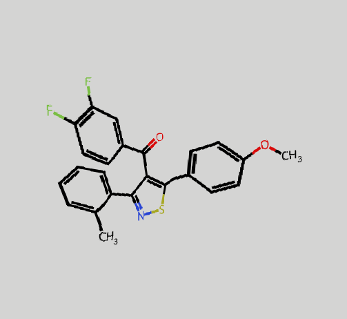 COc1ccc(-c2snc(-c3ccccc3C)c2C(=O)c2ccc(F)c(F)c2)cc1